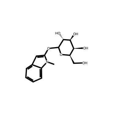 Cn1c(OC2O[C@H](CO)[C@H](O)[C@H](O)[C@H]2O)cc2ccccc21